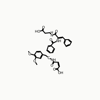 COc1ccc(CCNC(=O)/C=C\C(=O)O)cc1OC.O=C(O)CCNC(=O)/C(=C/c1ccccc1)NC(=O)c1ccccc1